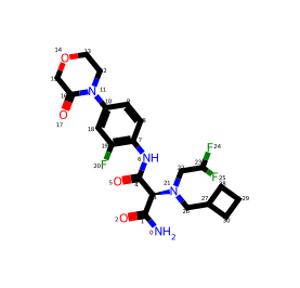 NC(=O)[C@@H](C(=O)Nc1ccc(N2CCOCC2=O)cc1F)N(CC(F)F)CC1CCC1